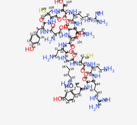 C[C@@H](O)[C@H](N)C(=O)N[C@@H](Cc1ccc(O)cc1)C(=O)N[C@H](C(=O)N[C@H](C(=O)N[C@@H](CCCNC(=N)N)C(=O)N[C@@H](CCN)C(=O)N[C@H](C(=O)N[C@H](CCN)C(=O)N[C@@H](CCCCN)C(=O)N[C@@H](CS)C(=O)N[C@@H](CCN)C(=O)N[C@@H](CCCNC(=N)N)C(=O)N[C@@H](Cc1ccc(O)cc1)C(=O)O)[C@@H](C)O)[C@@H](C)O)C(C)(C)S